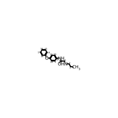 CCCNCC(=O)Nc1ccc(Oc2ccccc2)cc1